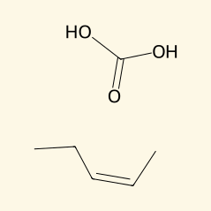 C/C=C\CC.O=C(O)O